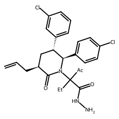 C=CC[C@H]1C[C@H](c2cccc(Cl)c2)[C@@H](c2ccc(Cl)cc2)N(C(CC)(C(C)=O)C(=O)NN)C1=O